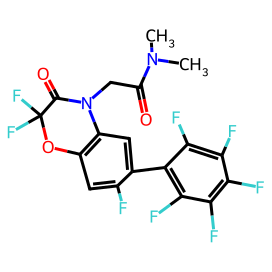 CN(C)C(=O)CN1C(=O)C(F)(F)Oc2cc(F)c(-c3c(F)c(F)c(F)c(F)c3F)cc21